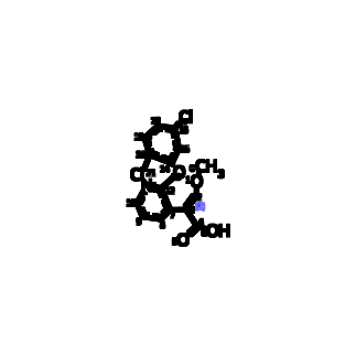 CO/C=C(/C(=O)O)c1cccnc1Oc1cc(Cl)ccc1Cl